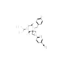 CC(C)N1CC(=O)N(Cc2ccc(Cl)cc2)C2(CN(c3ccc(C#N)cn3)C2)C1=O